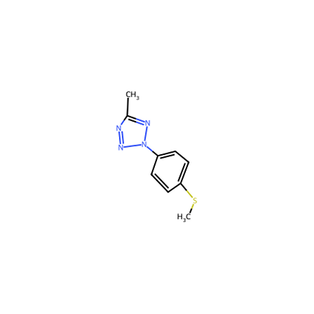 CSc1ccc(-n2nnc(C)n2)cc1